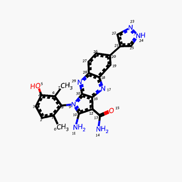 Cc1ccc(O)c(C)c1-n1c(N)c(C(N)=O)c2nc3cc(-c4cn[nH]c4)ccc3nc21